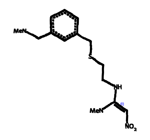 CNCc1cccc(CSCCN/C(=C/[N+](=O)[O-])NC)c1